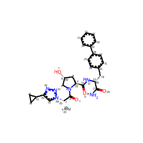 CC[C@H](C)[C@@H](C(=O)N1C[C@H](O)C[C@H]1C(=O)N[C@H](Cc1ccc(-c2ccccc2)cc1)C(N)=O)n1cc(C2CC2)nn1